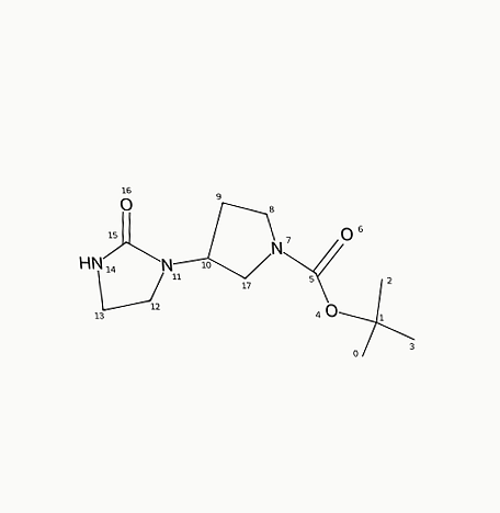 CC(C)(C)OC(=O)N1CCC(N2CCNC2=O)C1